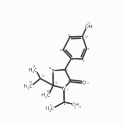 CC(C)N1C(=O)C(c2ccc(O)cc2)SC1(C)C(C)C